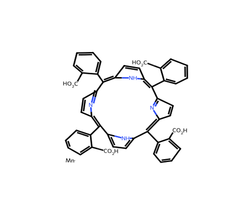 O=C(O)c1ccccc1-c1c2nc(c(-c3ccccc3C(=O)O)c3ccc([nH]3)c(-c3ccccc3C(=O)O)c3nc(c(-c4ccccc4C(=O)O)c4ccc1[nH]4)C=C3)C=C2.[Mn]